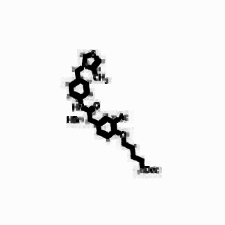 Br.CCCCCCCCCCCCCCOc1ccc(CC(=O)Nc2ccc(CN3CSC=C3C)cc2)cc1C(C)=O